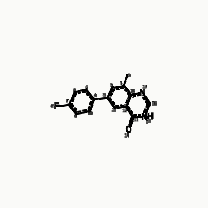 Cc1cc(-c2ccc(F)cc2)cc2c(=O)[nH]cnc12